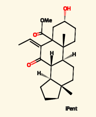 CC=C1C(=O)[C@H]2[C@@H]3CC[C@H]([C@H](C)CCC)[C@@]3(C)CC[C@@H]2[C@@]2(C)CC[C@@H](O)CC12C(=O)OC